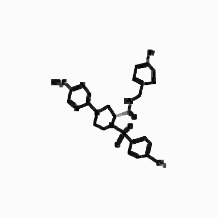 CC(C)c1ccc(CNC(=O)[C@H]2CN(c3cnc(C(=O)O)cn3)CCN2S(=O)(=O)c2ccc(C(F)(F)F)cc2)cc1